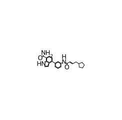 NC(=O)c1ccc(-c2cccc(NC(=O)C=CCC3CCCC3)c2)c2cc[nH]c12